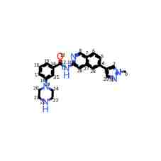 Cn1cc(-c2ccc3cnc(NC(=O)c4cccc(N5CCNCC5)c4)cc3c2)cn1